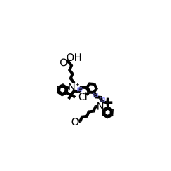 CC1(C)C(/C=C/C2=C(Cl)C(=C/C=C3\N(CCCCCC=O)c4ccccc4C3(C)C)/CCC2)=[N+](CCCCCC(=O)O)c2ccccc21